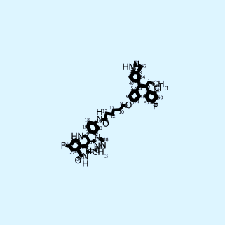 CC/C(=C(/c1ccc(OCCCCCC(=O)Nc2ccc([C@H]3Nc4cc(F)cc5c(=O)[nH]nc(c45)[C@@H]3c3ncnn3C)cc2)cc1)c1ccc2[nH]ncc2c1)c1ccc(F)cc1Cl